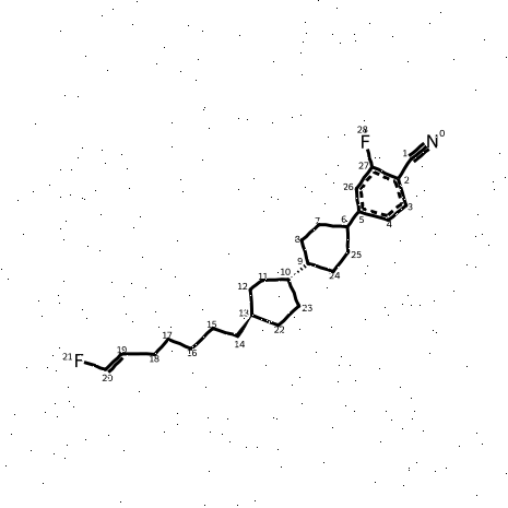 N#Cc1ccc(C2CCC([C@H]3CC[C@H](CCCCC/C=C/F)CC3)CC2)cc1F